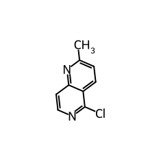 Cc1ccc2c(Cl)nccc2n1